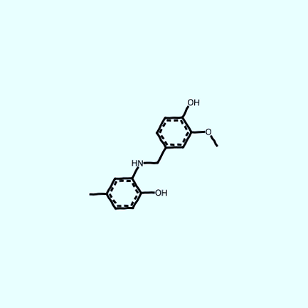 COc1cc(CNc2cc(C)ccc2O)ccc1O